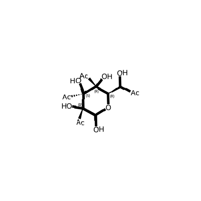 CC(=O)C(O)[C@H]1OC(O)[C@@](O)(C(C)=O)[C@](O)(C(C)=O)[C@@]1(O)C(C)=O